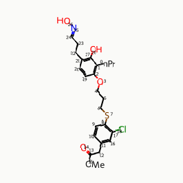 CCCc1c(OCCCSc2ccc(CC(=O)OC)cc2Cl)ccc(CCC=NO)c1O